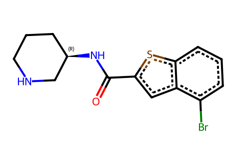 O=C(N[C@@H]1CCCNC1)c1cc2c(Br)cccc2s1